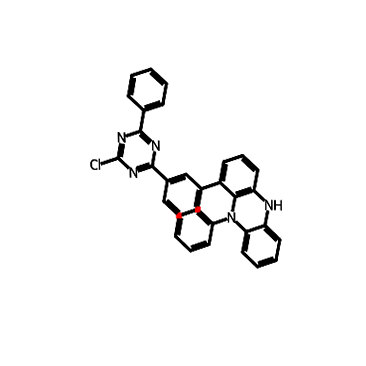 Clc1nc(-c2ccccc2)nc(-c2cccc(-c3cccc4c3N(c3ccccc3)c3ccccc3N4)c2)n1